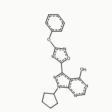 Oc1ncnc2c1c(-c1nc(Oc3ccccc3)no1)nn2C1CCCC1